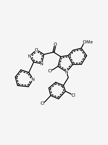 COc1ccc2c(c1)c(C(=O)c1nc(-c3ccccn3)no1)c(Cl)n2Cc1ccc(Cl)cc1Cl